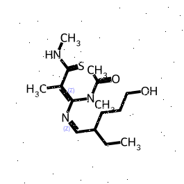 CCC(/C=N\C(=C(/C)C(=S)NC)N(C)C(C)=O)CCCO